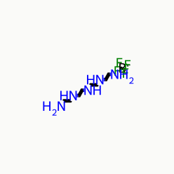 F[B-](F)(F)F.NCCNCCNCCNCCN